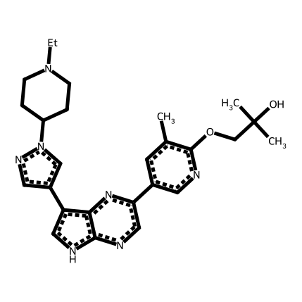 CCN1CCC(n2cc(-c3c[nH]c4ncc(-c5cnc(OCC(C)(C)O)c(C)c5)nc34)cn2)CC1